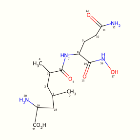 CC(CC(C)C(=O)NC(CCC(N)=O)C(=O)NO)CC(N)C(=O)O